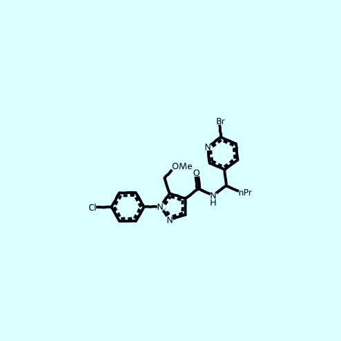 CCCC(NC(=O)c1cnn(-c2ccc(Cl)cc2)c1COC)c1ccc(Br)nc1